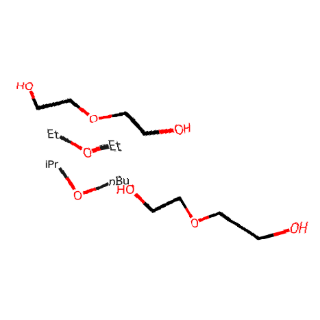 CCCCOC(C)C.CCOCC.OCCOCCO.OCCOCCO